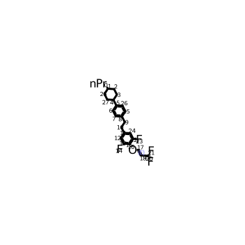 CCCC1CCC(c2ccc(CCc3cc(F)c(O/C=C/C(F)F)c(F)c3)cc2)CC1